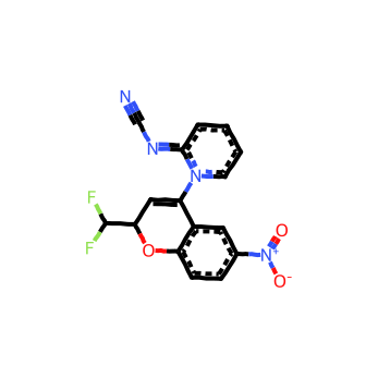 N#CN=c1ccccn1C1=CC(C(F)F)Oc2ccc([N+](=O)[O-])cc21